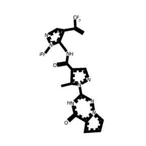 C=C(c1cnn(C(C)C)c1NC(=O)c1cnn(-c2nn3cccc3c(=O)[nH]2)c1C)C(F)(F)F